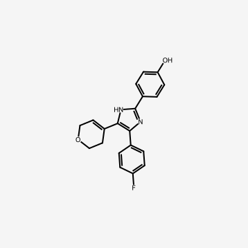 Oc1ccc(-c2nc(-c3ccc(F)cc3)c(C3=CCOCC3)[nH]2)cc1